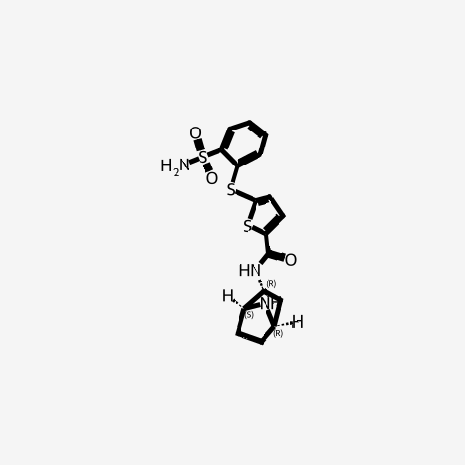 NS(=O)(=O)c1ccccc1Sc1ccc(C(=O)N[C@@H]2C[C@H]3CC[C@@H]2N3)s1